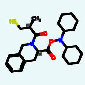 C[C@H](CS)C(=O)N1Cc2ccccc2C[C@H]1C(=O)ON(C1CCCCC1)C1CCCCC1